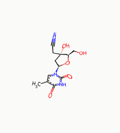 Cc1cn([C@H]2C[C@@](O)(CC#N)[C@@H](CO)O2)c(=O)[nH]c1=O